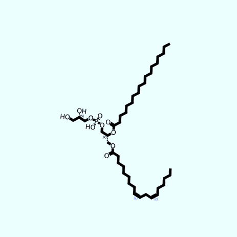 CCCCC/C=C\C/C=C\CCCCCCCC(=O)OC[C@H](COP(=O)(O)OC[C@@H](O)CO)OC(=O)CCCCCCCCCCCCCCCCC